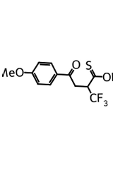 COc1ccc(C(=O)CC(C(O)=S)C(F)(F)F)cc1